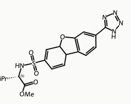 COC(=O)[C@@H](NS(=O)(=O)C1=CC2Oc3cc(-c4nnn[nH]4)ccc3C2C=C1)C(C)C